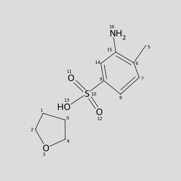 C1CCOC1.Cc1ccc(S(=O)(=O)O)cc1N